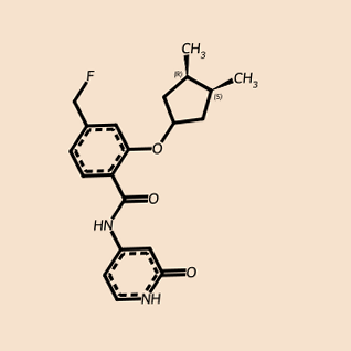 C[C@@H]1CC(Oc2cc(CF)ccc2C(=O)Nc2cc[nH]c(=O)c2)C[C@@H]1C